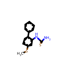 CSc1ccc(-c2ccccc2)c(NC(N)=S)c1